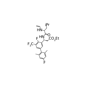 C=CNC(CC(C)C)C(=O)N[C@@H](CC(=O)OCC)c1cc(-c2c(C)cc(F)cc2C)cc(C(F)(F)F)c1F